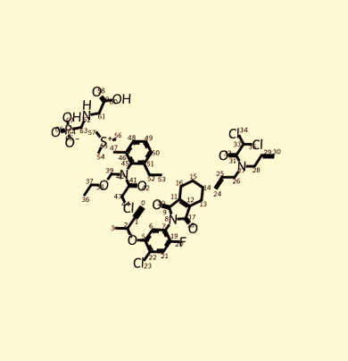 C#CC(C)Oc1cc(N2C(=O)C3=C(CCCC3)C2=O)c(F)cc1Cl.C=CCN(CC=C)C(=O)C(Cl)Cl.CCOCN(C(=O)CCl)c1c(C)cccc1CC.C[S+](C)C.O=C(O)CNCP(=O)([O-])O